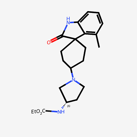 CCOC(=O)N[C@H]1CCN(C2CCC3(CC2)C(=O)Nc2cccc(C)c23)C1